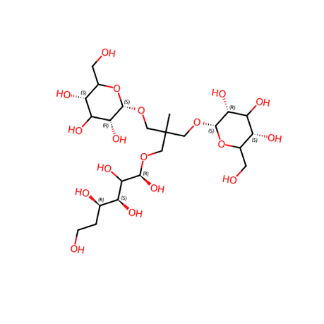 CC(CO[C@H]1OC(CO)[C@@H](O)C(O)[C@H]1O)(CO[C@H]1OC(CO)[C@@H](O)C(O)[C@H]1O)CO[C@@H](O)C(O)[C@@H](O)[C@H](O)CCO